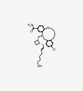 NC(=O)c1ccc2c(c1)N(C[C@@H]1CC[C@H]1C/C=C/CCCSO)Cc1ccc(Cl)cc1CCCCO2